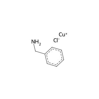 NCc1ccccc1.[Cl-].[Cu+]